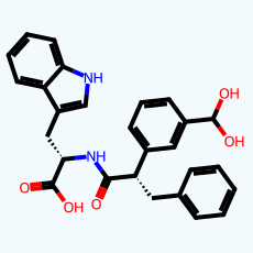 O=C(O)[C@H](Cc1c[nH]c2ccccc12)NC(=O)[C@@H](Cc1ccccc1)c1cccc(C(O)O)c1